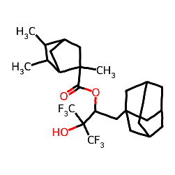 CC1C2CC(C1C)C(C)(C(=O)OC(CC13CC4CC(CC(C4)C1)C3)C(O)(C(F)(F)F)C(F)(F)F)C2